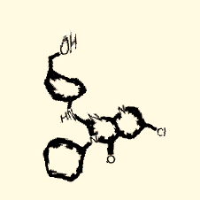 O=c1c2cc(Cl)cnc2nc(Nc2ccc(CO)cc2)n1-c1ccccc1